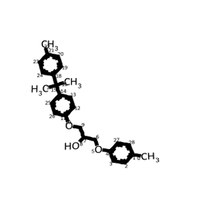 Cc1ccc(OCC(O)COc2ccc(C(C)(C)c3ccc(C)cc3)cc2)cc1